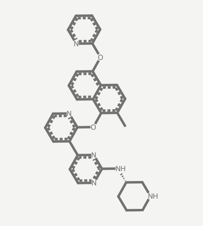 Cc1ccc2c(Oc3ccccn3)cccc2c1Oc1ncccc1-c1ccnc(N[C@H]2CCCNC2)n1